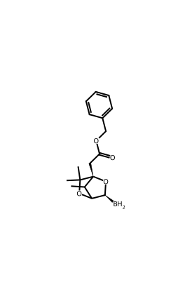 B[C@@H]1O[C@]2(CC(=O)OCc3ccccc3)C(C)C1OC2(C)C